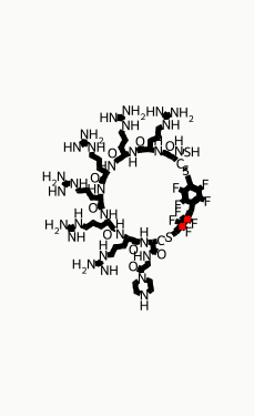 N=C(N)NCCCC1NC(=O)C(NS)CSc2c(F)c(F)c(c(F)c2F)-c2c(F)c(F)c(c(F)c2F)SCC(C(=O)NCC(=O)N2CCNCC2)NC(=O)C(CCCNC(=N)N)NC(=O)C(CCCNC(=N)N)NC(=O)C(CCCNC(=N)N)NC(=O)C(CCCNC(=N)N)NC(=O)C(CCCNC(=N)N)NC1=O